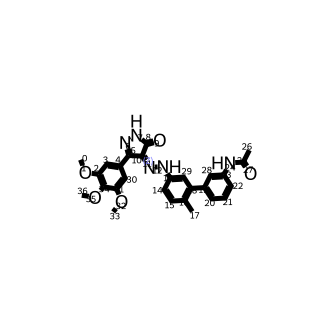 COc1cc(C2=NNC(=O)/C2=N\Nc2ccc(C)c(-c3cccc(NC(C)=O)c3)c2)cc(OC)c1OC